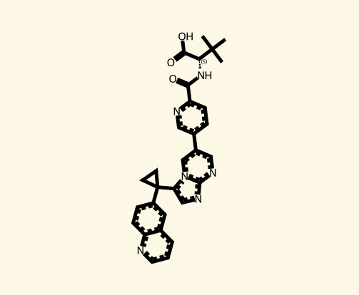 CC(C)(C)[C@H](NC(=O)c1ccc(-c2cnc3ncc(C4(c5ccc6ncccc6c5)CC4)n3c2)cn1)C(=O)O